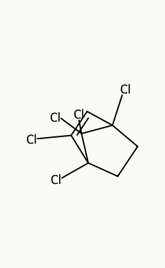 ClC1=CC2(Cl)CCC1(Cl)C2(Cl)Cl